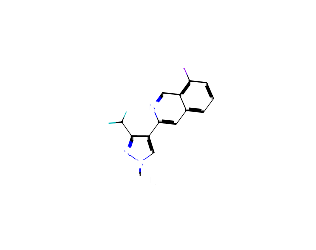 Cn1cc(-c2cc3cccc(I)c3cn2)c(C(F)F)n1